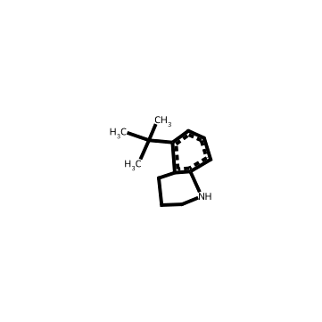 CC(C)(C)c1cccc2c1CCCN2